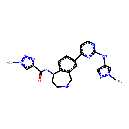 Cn1cc(Nc2nccc(-c3ccc4c(c3)CNCCC4NC(=O)c3cn(C(C)(C)C)nn3)n2)cn1